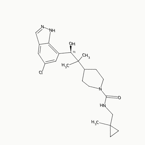 CC1(CNC(=O)N2CCC(C(C)(C)[C@H](O)c3cc(Cl)cc4cn[nH]c34)CC2)CC1